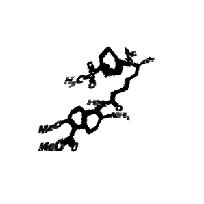 CCC[C@@H](CCCCC(=O)NC1c2ccc(OC)c(C(=O)OC)c2CCC1N)N(C(C)=O)c1ccc(S(C)(=O)=O)cc1